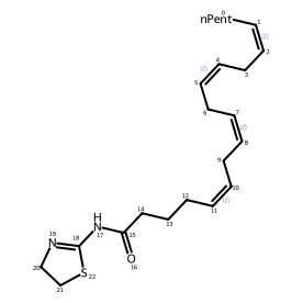 CCCCC/C=C\C/C=C\C/C=C\C/C=C\CCCC(=O)NC1=NCCS1